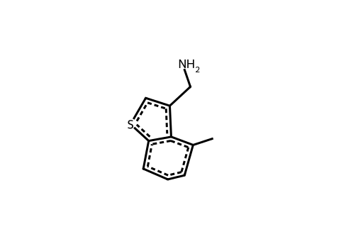 Cc1cccc2scc(CN)c12